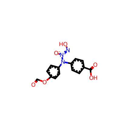 O=COc1ccc(N(c2ccc(C(=O)O)cc2)/[N+]([O-])=N/O)cc1